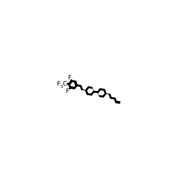 C=CCCC[C@H]1CC[C@H]([C@H]2CC[C@H](CCc3cc(F)c(C(F)(F)F)c(F)c3)CC2)CC1